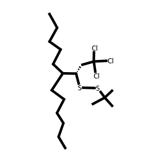 CCCCCCC(CCCCC)[C@H](CC(Cl)(Cl)Cl)SSC(C)(C)C